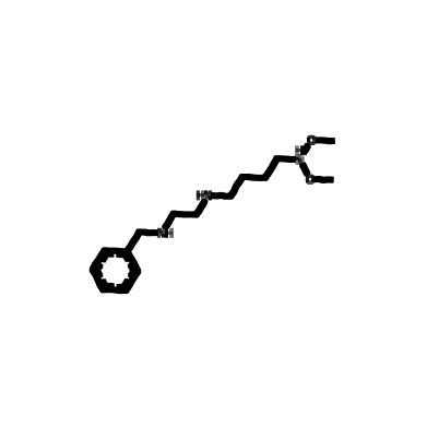 CO[SiH](CCCCNCCNCc1ccccc1)OC